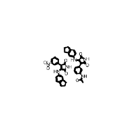 CC(=O)Nc1cccc(C2=C(Nc3ccc4c(c3)CCC4)C(=O)NC2=O)c1.O=C1NC(=O)C(c2cccc([N+](=O)[O-])c2)=C1Nc1ccc2c(c1)CCC2